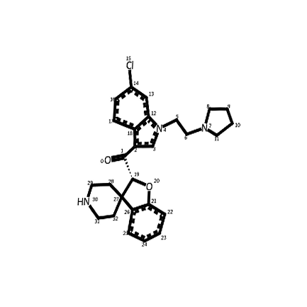 O=C(c1cn(CCN2CCCC2)c2cc(Cl)ccc12)[C@@H]1Oc2ccccc2C12CCNCC2